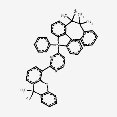 CC1(C)c2ccccc2Sc2c(-c3nccc([Si](c4ccccc4)(c4ccccc4)c4cccc5c4Sc4ccccc4C(C)(C)C5(C)C)n3)cccc21